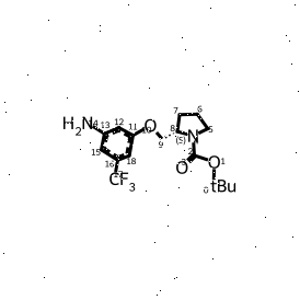 CC(C)(C)OC(=O)N1CCC[C@H]1COc1cc(N)cc(C(F)(F)F)c1